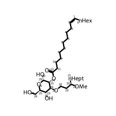 CCCCCC/C=C\CCCCCCCCCC(=O)O[C@@H]1[C@@H](OCC[C@@H](CCCCCCC)OC)[C@H](O)[C@@H](CO)O[C@@H]1O